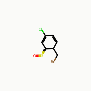 O=S=C1C=C(Cl)C=CC1CBr